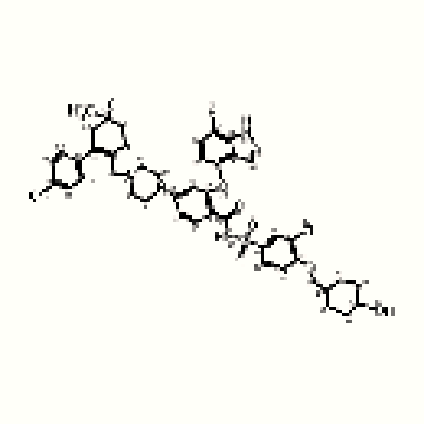 CC1(C)CCC(CN2CCN(c3ccc(C(=O)NS(=O)(=O)c4cnc(OCC5CCC(O)CC5)c(Cl)c4)c(Oc4ccc(F)c5[nH]ncc45)c3)CC2)=C(c2ccc(Cl)cc2)C1